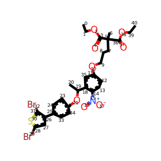 CCOC(=O)C(C)(CCCOc1ccc([N+](=O)[O-])c(C(C)Oc2ccc(-c3cc(Br)sc3Br)cc2)c1)C(=O)OCC